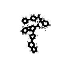 CC(c1ccc(-c2ccccc2)cc1)c1sc2ccccc2c1/N=C(\N)c1cc(-c2ccc(-c3ccc4ccccc4c3)cc2)c2c(c1)sc1ccccc12